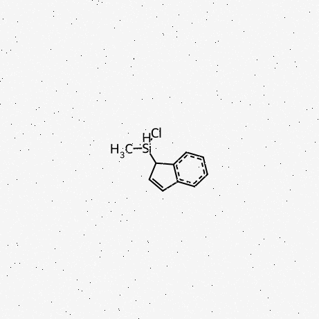 C[SiH](Cl)C1C=Cc2ccccc21